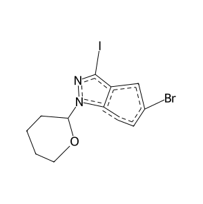 Brc1ccc2c(c1)c(I)nn2C1CCCCO1